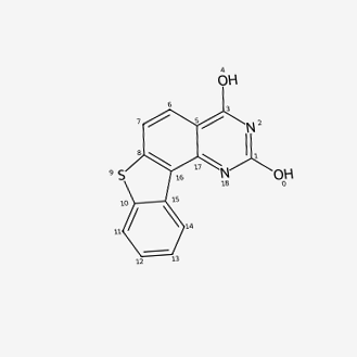 Oc1nc(O)c2ccc3sc4ccccc4c3c2n1